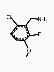 COc1ccc(Cl)c(CN)c1F